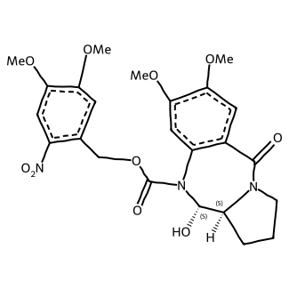 COc1cc(COC(=O)N2c3cc(OC)c(OC)cc3C(=O)N3CCC[C@H]3[C@@H]2O)c([N+](=O)[O-])cc1OC